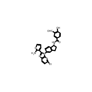 CCc1ccc2nc(-c3cccnc3N)n(-c3ccc4c(c3)CC[C@@H]4NC(=O)c3ccc(O)c(C=O)c3)c2n1